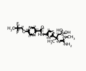 CN1C(N)=N[C@](C)(c2nc(NC(=O)c3cnc(OCC(C)(F)F)cn3)cs2)CS1(O)O